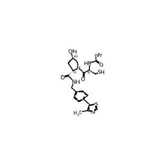 CCCC(=O)N[C@@H](CS)C(=O)N1C[C@H](O)C[C@H]1C(=O)NCc1ccc(-c2scnc2C)cc1